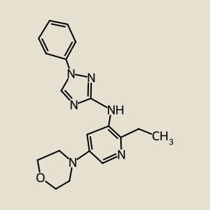 CCc1ncc(N2CCOCC2)cc1Nc1ncn(-c2ccccc2)n1